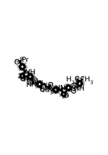 Cc1ccc(NS(=O)(=O)c2ccc3c(c2)C2OCCC2C(c2ccc(NC(=O)CCc4ccc(NS(=O)(=O)c5ccc6c(c5)[C@@H]5OCCC5C(c5ccc(C(=O)C(C)C)cc5)N6)cc4C)cc2)N3)cc1C